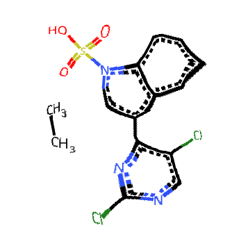 CC.O=S(=O)(O)n1cc(-c2nc(Cl)ncc2Cl)c2ccccc21